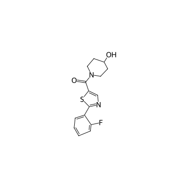 O=C(c1cnc(-c2ccccc2F)s1)N1CCC(O)CC1